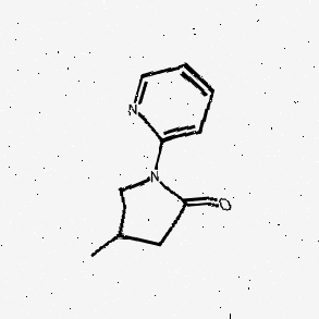 CC1CC(=O)N(c2ccccn2)C1